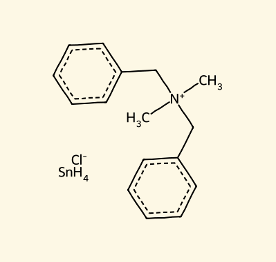 C[N+](C)(Cc1ccccc1)Cc1ccccc1.[Cl-].[SnH4]